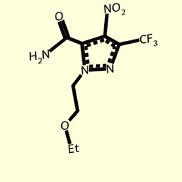 CCOCCn1nc(C(F)(F)F)c([N+](=O)[O-])c1C(N)=O